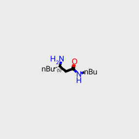 CCCCNC(=O)C[C@@H](N)CCCC